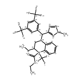 CCOC(=O)[N+]1(C(F)(F)F)c2ccccc2N(C(c2cc(C(F)(F)F)cc(C(F)(F)F)c2)c2nnn(C)n2)CC1CC